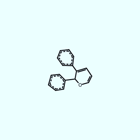 C1=COC(c2ccccc2)C(c2ccccc2)=C1